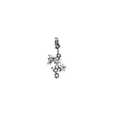 COC(=O)NC(C(=O)NC(Cc1ccc(C#Cc2ccc(N3CC4CCC(C3)N4C3COC3)nc2)cc1)C(O)CN(Cc1c(F)cc(-c2ccccn2)cc1Cl)NC(=O)C(NC(=O)O)C(C)(C)C)C(C)(C)C(F)(F)F